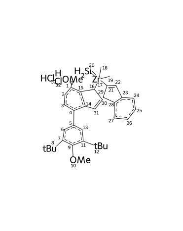 COc1ccc(-c2cc(C(C)(C)C)c(OC)c(C(C)(C)C)c2)c2c1[CH]([Zr]([CH3])([CH3])(=[SiH2])[C]1=Cc3ccccc3C1)C=C2.Cl.Cl